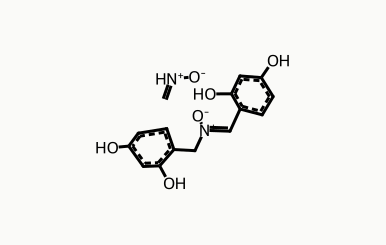 C=[NH+][O-].[O-][N+](=Cc1ccc(O)cc1O)Cc1ccc(O)cc1O